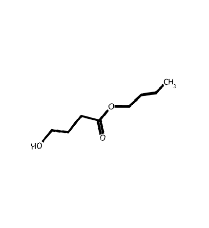 CCCCOC(=O)CCCO